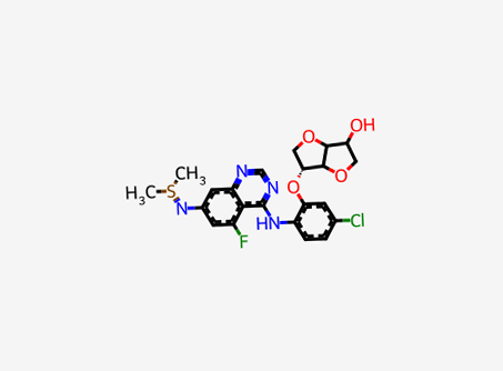 CS(C)=Nc1cc(F)c2c(Nc3ccc(Cl)cc3O[C@@H]3COC4C(O)COC43)ncnc2c1